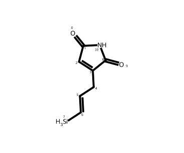 O=C1C=C(CC=C[SiH3])C(=O)N1